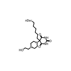 CCCCCCCCCCCCCCCCC1(N2CCN(CCO)CC2)C(=O)NC(=O)NC1=O